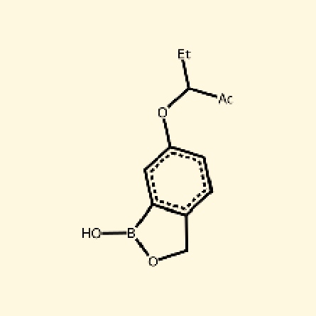 CCC(Oc1ccc2c(c1)B(O)OC2)C(C)=O